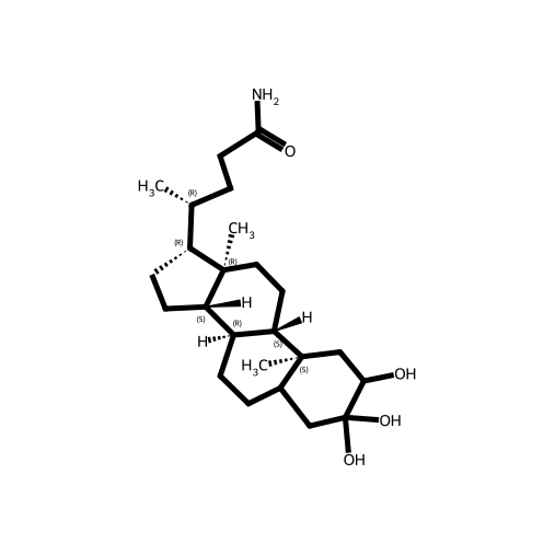 C[C@H](CCC(N)=O)[C@H]1CC[C@H]2[C@@H]3CCC4CC(O)(O)C(O)C[C@]4(C)[C@H]3CC[C@]12C